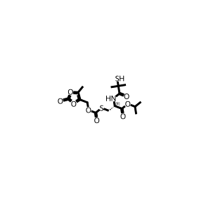 Cc1oc(=O)oc1COC(=O)SC[C@H](NC(=O)C(C)(C)S)C(=O)OC(C)C